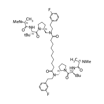 CN[C@@H](C)C(=O)N[C@H](C(=O)N1CCC[C@H]1CN(CCc1cccc(F)c1)C(=O)CCCCCCCCC(=O)N(CCc1cccc(F)c1)C[C@@H]1CCCN1C(=O)[C@@H](NC(=O)[C@H](C)NC)C(C)(C)C)C(C)(C)C